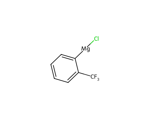 FC(F)(F)c1cccc[c]1[Mg][Cl]